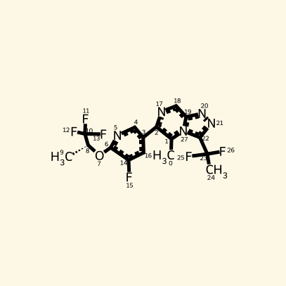 Cc1c(-c2cnc(O[C@H](C)C(F)(F)F)c(F)c2)ncc2nnc(C(C)(F)F)n12